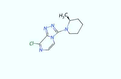 C[C@H]1CCCCN1c1nnc2c(Cl)nccn12